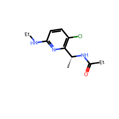 CCNc1ccc(Cl)c([C@@H](C)NC(=O)CC)n1